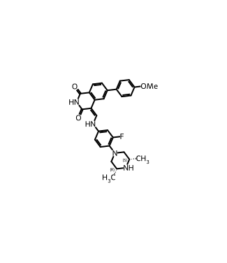 COc1ccc(-c2ccc3c(c2)C(=CNc2ccc(N4C[C@@H](C)N[C@@H](C)C4)c(F)c2)C(=O)NC3=O)cc1